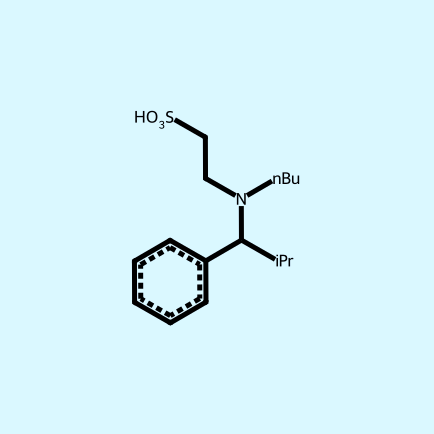 CCCCN(CCS(=O)(=O)O)C(c1ccccc1)C(C)C